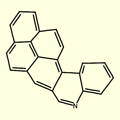 c1cc2ccc3cc4cnc5ccccc5c4c4ccc(c1)c2c34